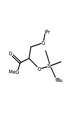 COC(=O)C(COC(C)C)O[Si](C)(C)C(C)(C)C